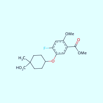 COC(=O)c1cc(OC2CCC(C)(C(=O)O)CC2)c(F)cc1OC